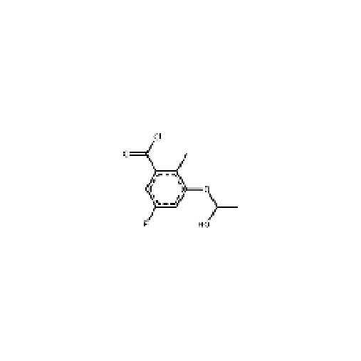 Cc1c(OC(C)O)cc(F)cc1C(=O)Cl